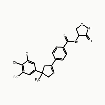 O=C1NOCC1NC(=S)c1ccc(C2=NCC(c3cc(Cl)c(Cl)c(C(F)(F)F)c3)(C(F)(F)F)C2)cc1